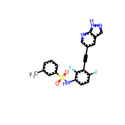 O=S(=O)(Nc1ccc(F)c(C#Cc2cnc3[nH]ncc3c2)c1F)c1cccc(C(F)(F)F)c1